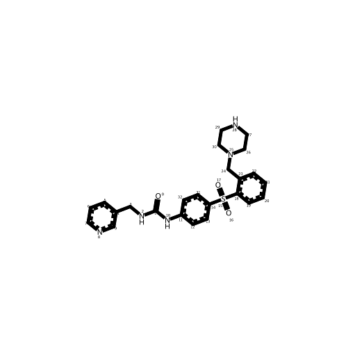 O=C(NCc1cccnc1)Nc1ccc(S(=O)(=O)c2ccccc2CN2CCNCC2)cc1